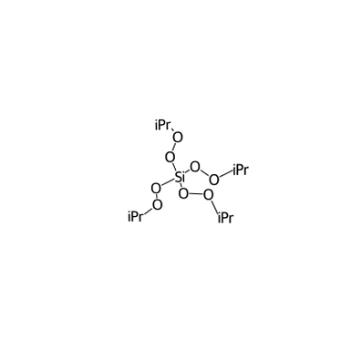 CC(C)OO[Si](OOC(C)C)(OOC(C)C)OOC(C)C